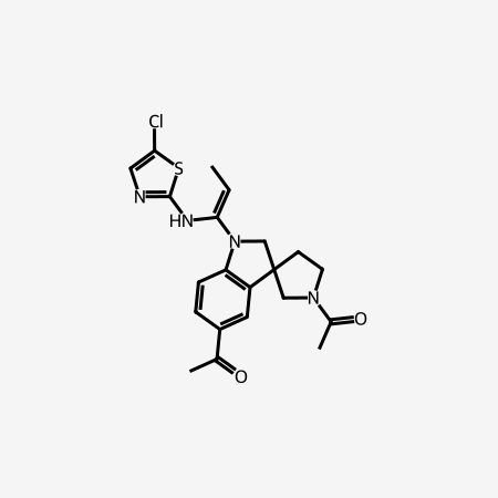 CC=C(Nc1ncc(Cl)s1)N1CC2(CCN(C(C)=O)C2)c2cc(C(C)=O)ccc21